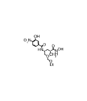 CCOCOCC(CC(C)C(=O)NO)NC(=O)c1ccc([N+](=O)[O-])c(O)c1